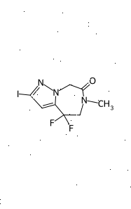 CN1CC(F)(F)c2cc(I)nn2CC1=O